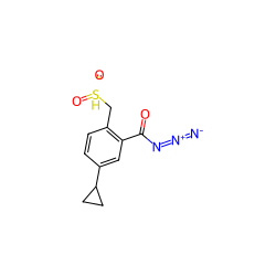 [N-]=[N+]=NC(=O)c1cc(C2CC2)ccc1C[SH](=O)=O